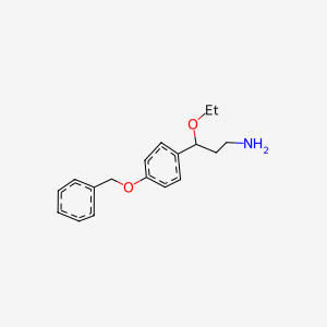 CCOC(CCN)c1ccc(OCc2ccccc2)cc1